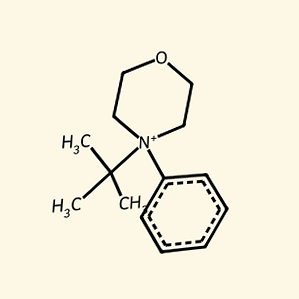 CC(C)(C)[N+]1(c2ccccc2)CCOCC1